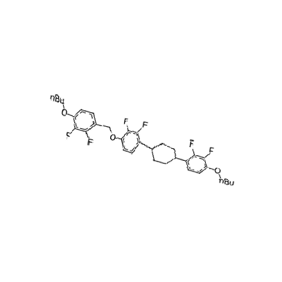 CCCCOc1ccc(COc2ccc(C3CCC(c4ccc(OCCCC)c(F)c4F)CC3)c(F)c2F)c(F)c1F